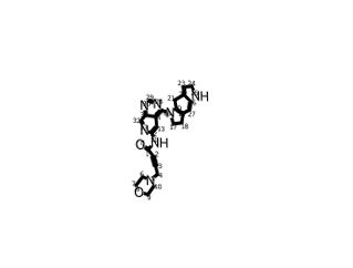 O=C(C#CCN1CCOCC1)Nc1cc2c(N3CCC4=C3CC3=CCNC3=C4)ncnc2cn1